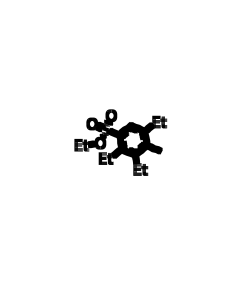 CCOS(=O)(=O)c1cc(CC)c(C)c(CC)c1CC